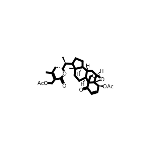 CC(=O)OCC1=C(C)C[C@H]([C@@H](C)C2CC[C@H]3[C@@H]4C[C@H]5O[C@]56[C@@H](OC(C)=O)C=CC(=O)C6(CO)[C@H]4CC[C@]23C)OC1=O